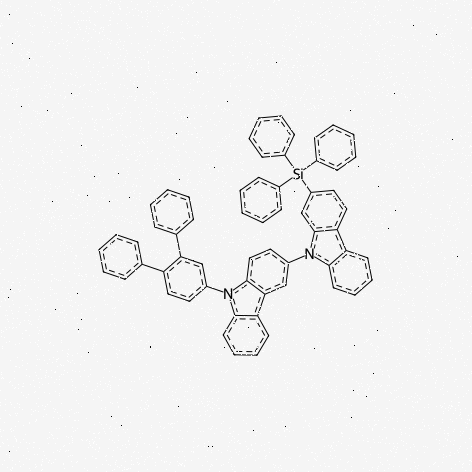 c1ccc(-c2ccc(-n3c4ccccc4c4cc(-n5c6ccccc6c6ccc([Si](c7ccccc7)(c7ccccc7)c7ccccc7)cc65)ccc43)cc2-c2ccccc2)cc1